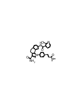 CN(C)C(=O)C=Cc1ccc(-n2nc(C(N)=O)c3c2-c2cc(NC(=O)c4cccnc4Cl)ccc2CC3)cc1